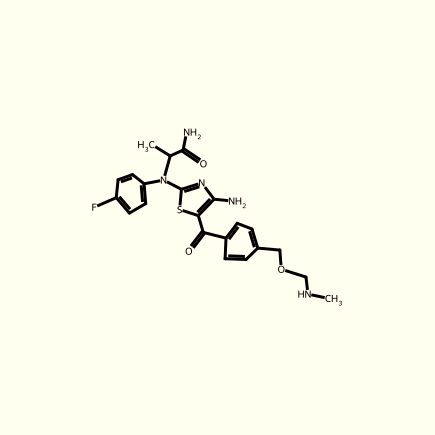 CNCOCc1ccc(C(=O)c2sc(N(c3ccc(F)cc3)C(C)C(N)=O)nc2N)cc1